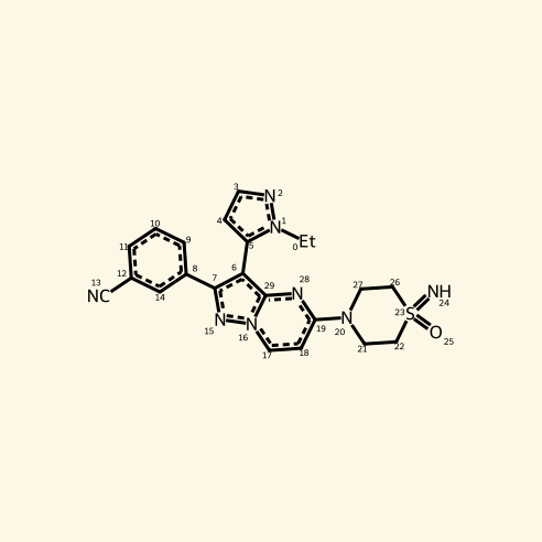 CCn1nccc1-c1c(-c2cccc(C#N)c2)nn2ccc(N3CCS(=N)(=O)CC3)nc12